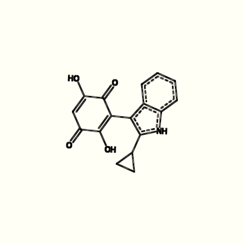 O=C1C=C(O)C(=O)C(c2c(C3CC3)[nH]c3ccccc23)=C1O